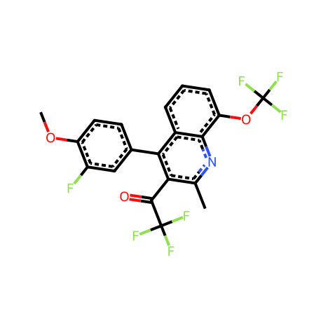 COc1ccc(-c2c(C(=O)C(F)(F)F)c(C)nc3c(OC(F)(F)F)cccc23)cc1F